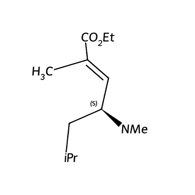 CCOC(=O)C(C)=C[C@H](CC(C)C)NC